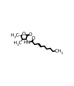 CCCCC/C=C/CC(=O)N[C@H]1C(=O)O[C@@H](C)[C@@H]1C